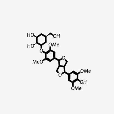 COc1cc(C2OCC3C(c4cc(OC)c(OC5C[C@H](CO)C[C@H](O)[C@H]5O)c(OC)c4)OCC23)cc(OC)c1O